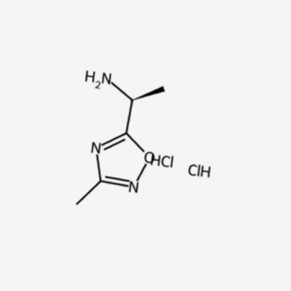 Cc1noc([C@H](C)N)n1.Cl.Cl